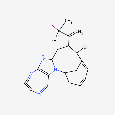 C=C(C1CC2NC3=C(C=NC=C=N3)N2C2CC=CC=C(C2)C1C)C(C)(C)I